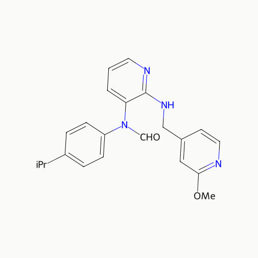 COc1cc(CNc2ncccc2N(C=O)c2ccc(C(C)C)cc2)ccn1